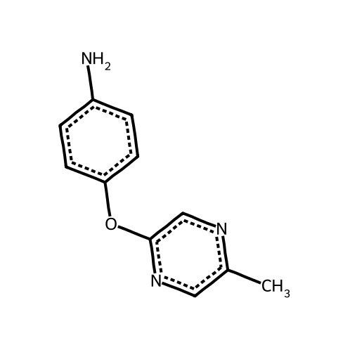 Cc1cnc(Oc2ccc(N)cc2)cn1